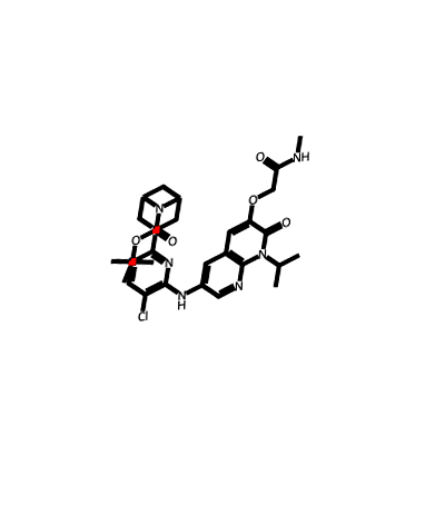 CNC(=O)COc1cc2cc(Nc3nc(N4CC5CC(C4)N5C(=O)OC(C)(C)C)ncc3Cl)cnc2n(C(C)C)c1=O